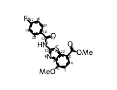 COC(=O)c1ccc(OC)c2nc(NC(=O)c3ccc(F)cc3)sc12